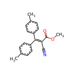 COC(=O)C(C#N)=C(c1ccc(C)cc1)c1ccc(C)cc1